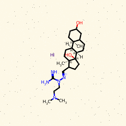 CN(C)CCN(/N=C/C1CC[C@@]2(O)[C@@H]3CCC4CC(O)CC[C@]4(C)[C@@H]3CC[C@]12C)C(=N)N.I